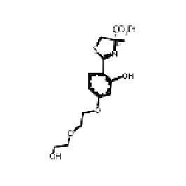 CCOC(=O)[C@@]1(C)CSC(c2ccc(OCCOCCO)cc2O)=N1